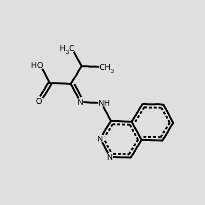 CC(C)/C(=N\Nc1nncc2ccccc12)C(=O)O